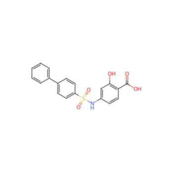 O=C(O)c1ccc(NS(=O)(=O)c2ccc(-c3ccccc3)cc2)cc1O